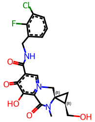 CN1C(=O)c2c(O)c(=O)c(C(=O)NCc3cccc(Cl)c3F)cn2C[C@]12C[C@H]2CO